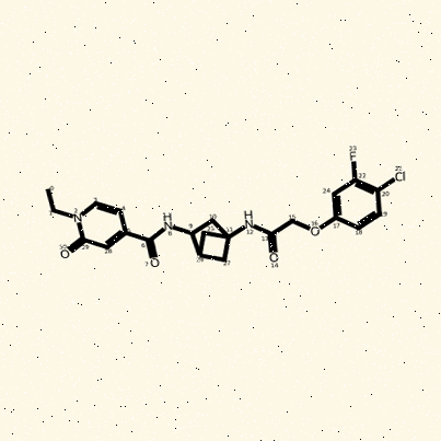 CCn1ccc(C(=O)NC2CC3(NC(=O)COc4ccc(Cl)c(F)c4)CC2C3)cc1=O